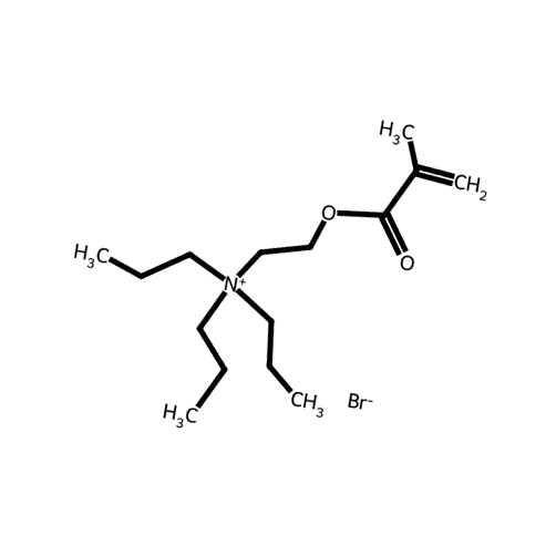 C=C(C)C(=O)OCC[N+](CCC)(CCC)CCC.[Br-]